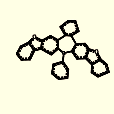 c1ccc(B2c3cc4c(cc3-c3ccccc3-c3cc5oc6ccccc6c5cc32)oc2ccccc24)cc1